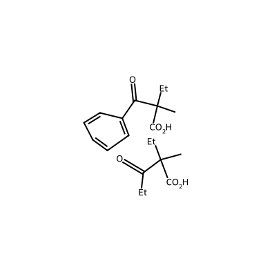 CCC(=O)C(C)(CC)C(=O)O.CCC(C)(C(=O)O)C(=O)c1ccccc1